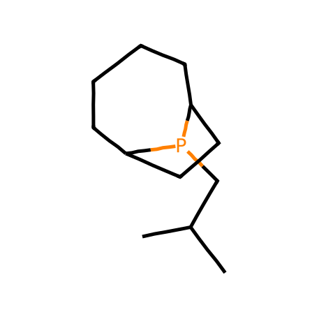 CC(C)CP1C2CCCCC1CC2